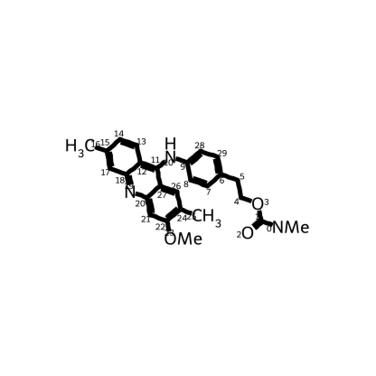 CNC(=O)OCCc1ccc(Nc2c3ccc(C)cc3nc3cc(OC)c(C)cc23)cc1